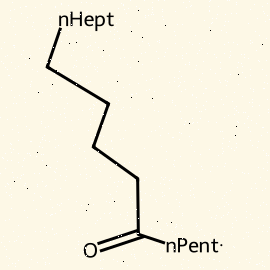 CCCC[CH]C(=O)CCCCCCCCCCC